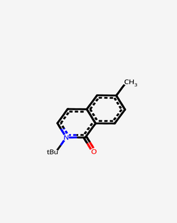 Cc1ccc2c(=O)n(C(C)(C)C)ccc2c1